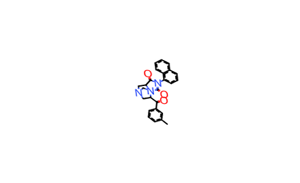 Cc1cccc(C(=O)C2CN3CC4C(=O)N(c5cccc6ccccc56)C(=O)[N+]24C3)c1